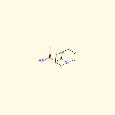 NC(=O)CC1C2CCCN1CCC2